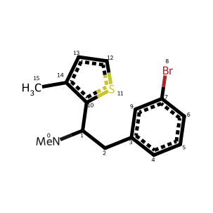 CNC(Cc1cccc(Br)c1)c1sccc1C